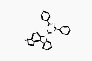 CC1(C)C=Cc2c1ccc1c2c2ccccc2n1-c1nc(-c2ccccc2)nc(-c2ccccc2)n1